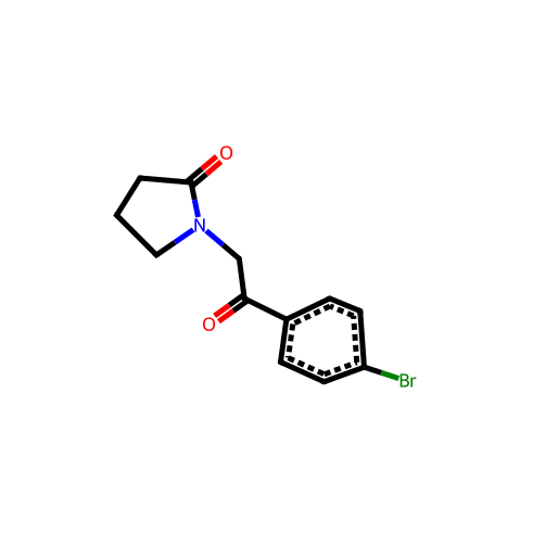 O=C(CN1CCCC1=O)c1ccc(Br)cc1